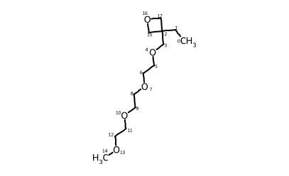 CCC1(COCCOCCOCCOC)COC1